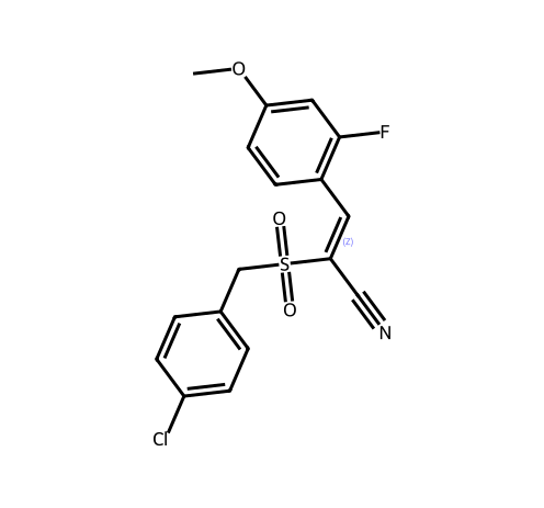 COc1ccc(/C=C(/C#N)S(=O)(=O)Cc2ccc(Cl)cc2)c(F)c1